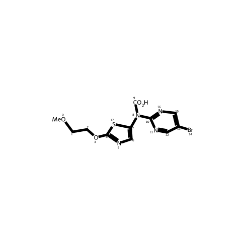 COCCOc1ncc(N(C(=O)O)c2ncc(Br)cn2)s1